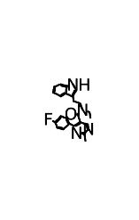 CCN(CCc1c[nH]c2ccccc12)C(=O)c1cnc(C)nc1-c1ccc(F)cc1